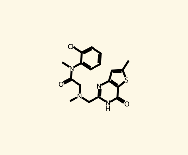 Cc1cc2nc(CN(C)CC(=O)N(C)c3ccccc3Cl)[nH]c(=O)c2s1